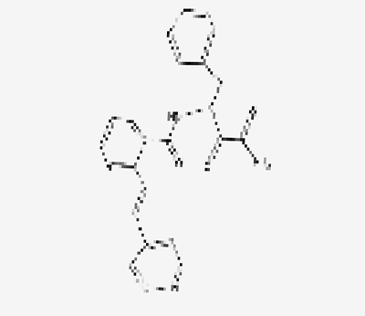 NC(=O)C(=O)C(Cc1ccccc1)NC(=O)c1cccnc1C=Cc1ccncc1